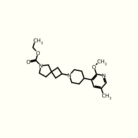 CCOC(=O)N1CCC2(CC(N3CCC(c4cc(C)cnc4OC)CC3)C2)C1